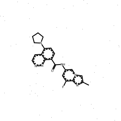 Cc1cn2cc(NC(=O)c3ccc(N4CCCC4)c4ccnnc34)cc(F)c2n1